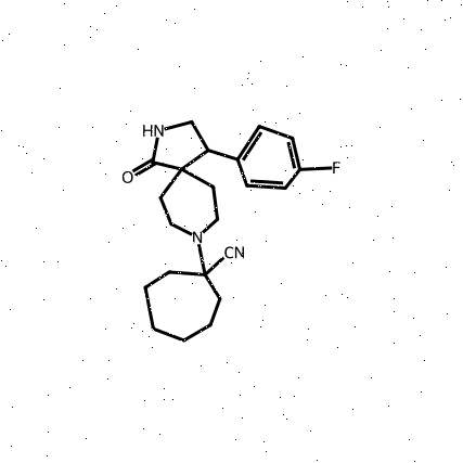 N#CC1(N2CCC3(CC2)C(=O)NCC3c2ccc(F)cc2)CCCCCC1